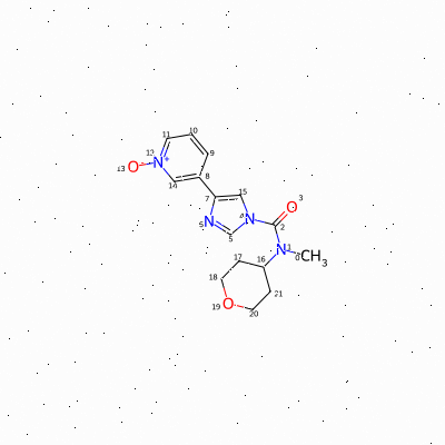 CN(C(=O)n1cnc(-c2ccc[n+]([O-])c2)c1)C1CCOCC1